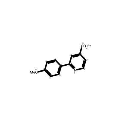 CCOC(=O)c1ccnc(-c2ccc(OC)cc2)c1